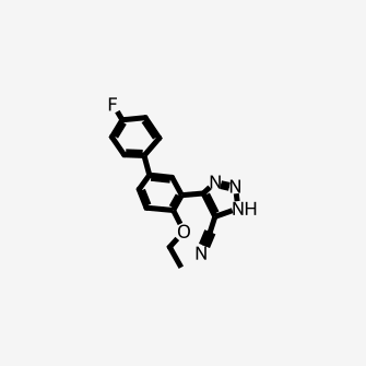 CCOc1ccc(-c2ccc(F)cc2)cc1-c1nn[nH]c1C#N